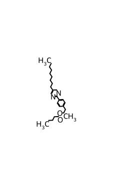 CCCCCCCCCc1cnc(-c2ccc(CC(C)OC(=O)CCCC)cc2)nc1